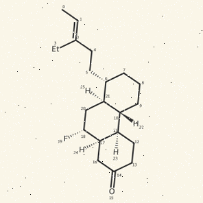 C/C=C(\CC)CC[C@@H]1CCC[C@@H]2[C@H]3CCC(=O)C[C@H]3[C@H](F)C[C@@H]12